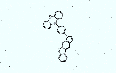 c1ccc2c(c1)Sc1ccccc1N2c1ccc(-n2ccc3cc4c(cc32)sc2ccccc24)cc1